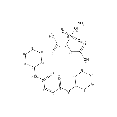 N.O=C(/C=C\C(=O)OC1CCCCC1)OC1CCCCC1.O=C(O)CC(C(=O)O)S(=O)(=O)O